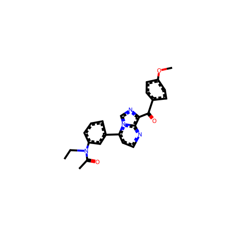 CCN(C(C)=O)c1cccc(-c2ccnc3c(C(=O)c4ccc(OC)cc4)ncn23)c1